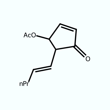 CCCC=CC1C(=O)C=CC1OC(C)=O